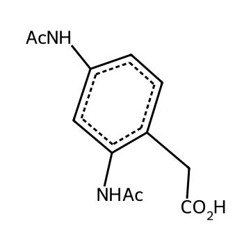 CC(=O)Nc1ccc(CC(=O)O)c(NC(C)=O)c1